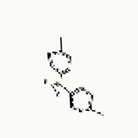 Cc1ccc(Pc2ccc(C)cc2)cc1.[Cl][Pd]